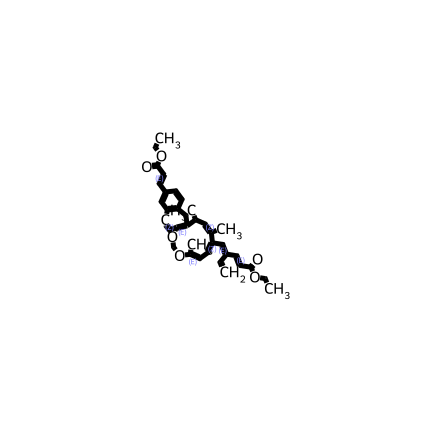 C=CC(\C=C\C(=O)OCC)=C/C1=C/C=C(\C)OCOC2=C(\Cc3ccc(/C=C/C(=O)OCC)cc3C/C=C\2)C(C)/C=C\1C